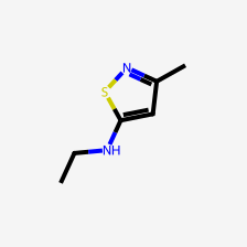 CCNc1cc(C)ns1